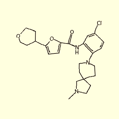 CN1CCC2(CCN(c3ccc(Cl)cc3NC(=O)c3ccc(C4CCOCC4)o3)CC2)C1